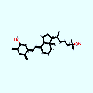 C=C1CC(=C)C(O)C/C1=C\C=C1/CCCC2(C)C1CCC2C(C)CCCC(C)(C)O